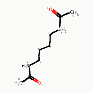 CC(=O)[SiH2]CCCC[SiH2]C(C)=O